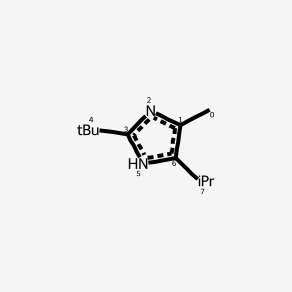 Cc1nc(C(C)(C)C)[nH]c1C(C)C